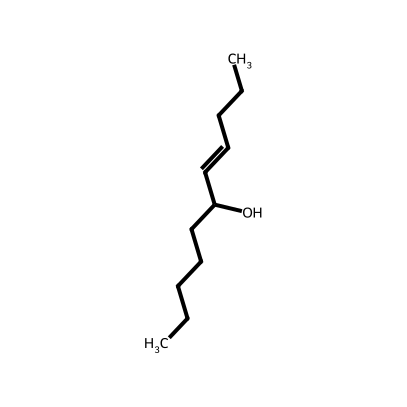 CCC/C=C/C(O)CCCCC